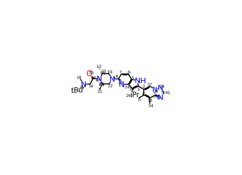 Cc1c(-c2[nH]c3ccc(N4C[C@@H](C)N(C(=O)CN(C)C(C)(C)C)[C@H](C)C4)nc3c2C(C)C)cn2ncnc2c1C